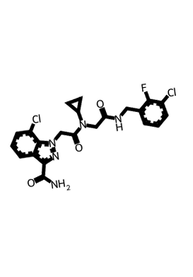 NC(=O)c1nn(CC(=O)N(CC(=O)NCc2cccc(Cl)c2F)C2CC2)c2c(Cl)cccc12